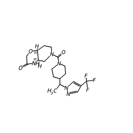 CC(C1CCN(C(=O)N2CC[C@@H]3OCC(=O)N[C@@H]3C2)CC1)n1cc(C(F)(F)F)cn1